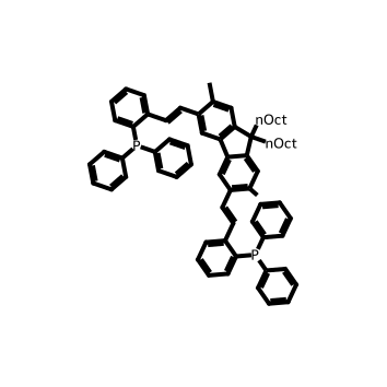 CCCCCCCCC1(CCCCCCCC)c2cc(C)c(/C=C/c3ccccc3P(c3ccccc3)c3ccccc3)cc2-c2cc(/C=C/c3ccccc3P(c3ccccc3)c3ccccc3)c(C)cc21